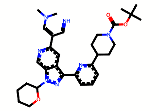 CN(C)/C=C(\C=N)c1cc2c(-c3cccc(C4CCN(C(=O)OC(C)(C)C)CC4)n3)nn(C3CCCCO3)c2cn1